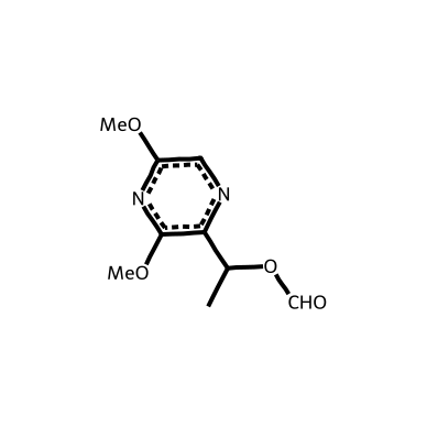 COc1cnc(C(C)OC=O)c(OC)n1